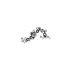 Cc1cc(-n2cc(-c3cnc(C(=O)Nc4ccc(C(=O)N5CCN(C(=O)C6CC[N+](C)(C)CC6)CC5)c(Cl)c4)[nH]3)c(C(F)(F)F)n2)ncc1N